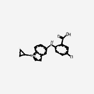 O=C(O)c1cc(Cl)ccc1Nc1ccc2c(ccn2C2CC2)c1